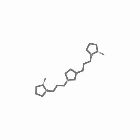 C[C@H]1CCCN1CCCN1[C]N(CCCN2CCC[C@@H]2C)CC1